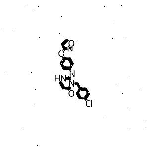 O=c1cc[nH]/c(=N\c2ccc(Oc3ccon3)cc2)n1Cc1ccc(Cl)cc1